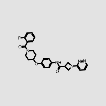 O=C(Nc1ccc(OC2CCN(C(=O)c3ccccc3F)CC2)cc1)C1CN(c2cccnn2)C1